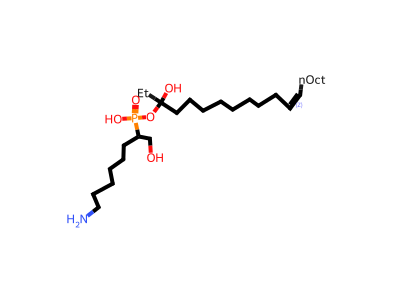 CCCCCCCC/C=C\CCCCCCCCC(O)(CC)OP(=O)(O)C(CO)CCCCCCN